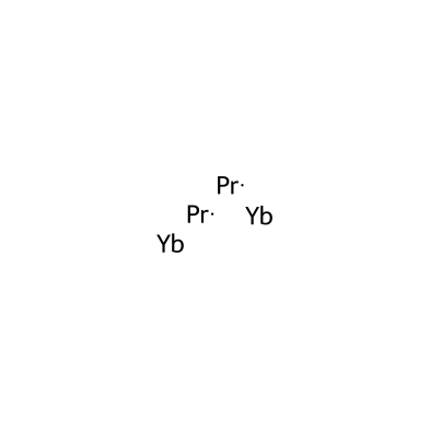 [Pr].[Pr].[Yb].[Yb]